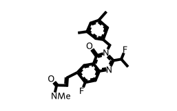 CNC(=O)/C=C/c1cc2c(=O)n(Cc3cc(C)cc(C)c3)c(C(C)F)nc2cc1F